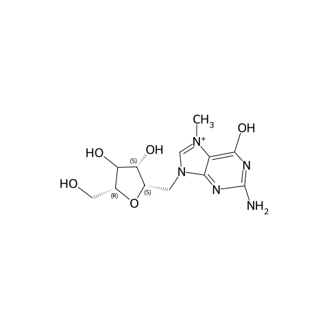 C[n+]1cn(C[C@@H]2O[C@H](CO)C(O)[C@@H]2O)c2nc(N)nc(O)c21